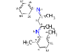 C/C(C/C(C)=N/c1c(C)cccc1C)=N/c1ccccc1